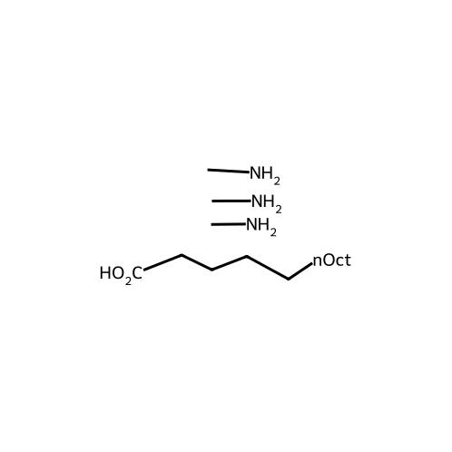 CCCCCCCCCCCCC(=O)O.CN.CN.CN